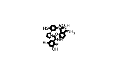 CCc1cc(O)c(F)c([C@@H](Nc2ccc3c(N)nccc3c2)C(=O)N2CCC[C@@H]2c2cc(NC(=O)O)ccc2S)c1